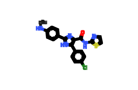 CCCCNc1ccc(-c2nc(C(=O)Nc3nccs3)c(-c3ccc(Cl)cc3)[nH]2)cc1